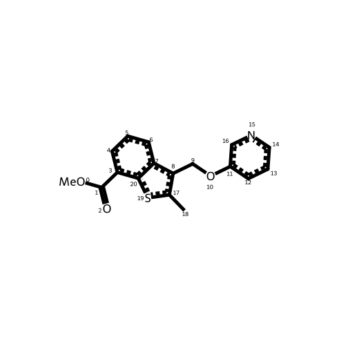 COC(=O)c1cccc2c(COc3cccnc3)c(C)sc12